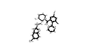 Cc1cc(F)cc(C(=O)N2CCC[C@@H](C)[C@H]2CNc2nc3cc(Cl)ccc3o2)c1-c1ncccn1